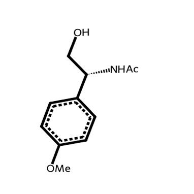 COc1ccc([C@H](CO)NC(C)=O)cc1